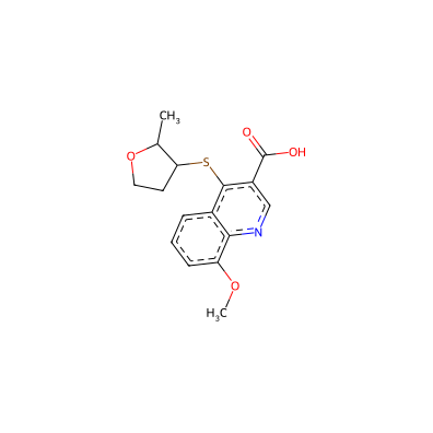 COc1cccc2c(SC3CCOC3C)c(C(=O)O)cnc12